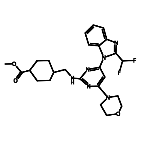 COC(=O)C1CCC(CNc2nc(N3CCOCC3)cc(-n3c(C(F)F)nc4ccccc43)n2)CC1